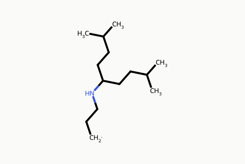 [CH2]CCNC(CCC(C)C)CCC(C)C